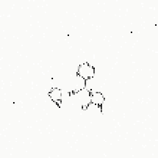 C#CC(c1ccccn1)N1CCN(C)C1=O.c1cc2cc-2c1